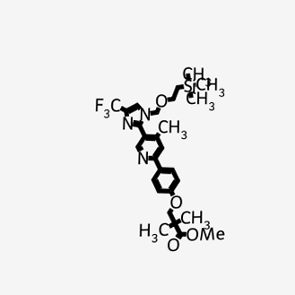 COC(=O)C(C)(C)COc1ccc(-c2cc(C)c(-c3nc(C(F)(F)F)cn3COCC[Si](C)(C)C)cn2)cc1